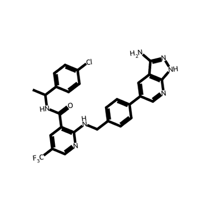 CC(NC(=O)c1cc(C(F)(F)F)cnc1NCc1ccc(-c2cnc3[nH]nc(N)c3c2)cc1)c1ccc(Cl)cc1